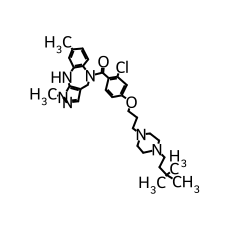 Cc1ccc2c(c1)Nc1c(cnn1C)CN2C(=O)c1ccc(OCCCN2CCN(CCC(C)(C)C)CC2)cc1Cl